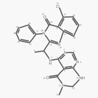 CC(Nc1ncnc2c1C(=O)N(C)CN2)c1nc2cccc(Cl)c2c(=O)n1-c1ccccc1